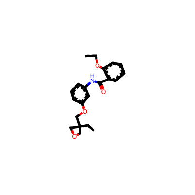 CCOc1ccccc1C(=O)Nc1cccc(OCC2(CC)COC2)c1